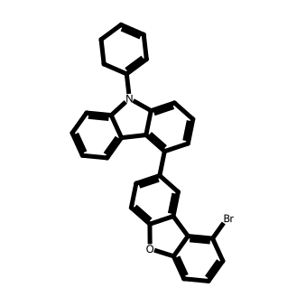 Brc1cccc2oc3ccc(-c4cccc5c4c4ccccc4n5C4=CC=CCC4)cc3c12